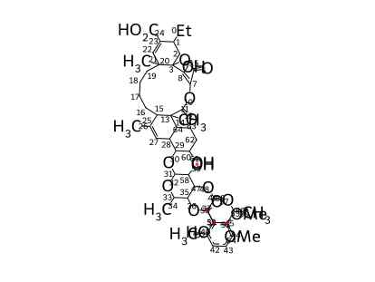 CCC1CC23OC(=O)C(=C2O)OC(=O)C2(C)C(CCCCC3(C)C=C1C(=O)O)C(C)=CC1C(OC3OC(C)C(OC(=O)c4c(C)cccc4OC)C(OC4CC(O)C(OC)C(C)O4)C3O)C(O)CCC12